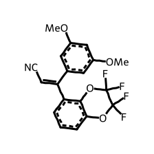 COc1cc(OC)cc(C(=CC#N)c2cccc3c2OC(F)(F)C(F)(F)O3)c1